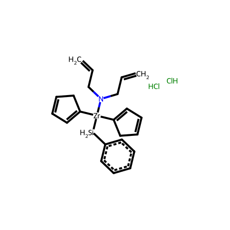 C=CC[N](CC=C)[Zr]([SiH2]c1ccccc1)([C]1=CC=CC1)[C]1=CC=CC1.Cl.Cl